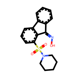 O=S(=O)(c1cccc2c1C(=NO)c1ccccc1-2)N1CCCCC1